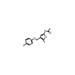 CC(=O)Oc1cc(COc2ccc(I)cc2)c(C)o1